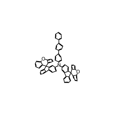 c1ccc(-c2ccc(-c3ccc(N(c4ccc5c(c4)-c4ccccc4C54c5ccccc5Oc5ccccc54)c4ccc5c(c4)C4(c6ccccc6Oc6ccccc64)c4ccccc4-5)cc3)cc2)cc1